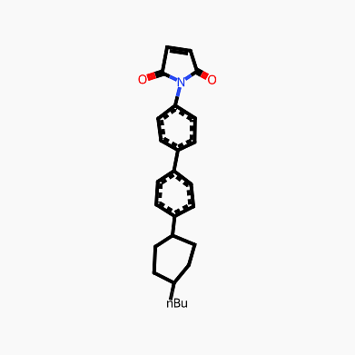 CCCCC1CCC(c2ccc(-c3ccc(N4C(=O)C=CC4=O)cc3)cc2)CC1